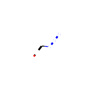 [N-]=[N+]=NC=C=O